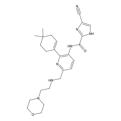 CC1(C)CC=C(c2nc(CNCCN3CCOCC3)ccc2NC(=O)c2nc(C#N)c[nH]2)CC1